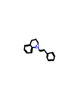 C(=CN1CCCc2ccccc21)c1ccccc1